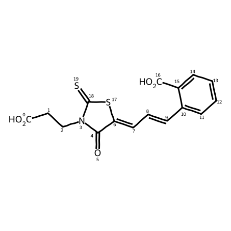 O=C(O)CCN1C(=O)C(=CC=Cc2ccccc2C(=O)O)SC1=S